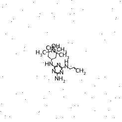 C=CCNc1nc(N)nc(NC2CC(C)(C)N(O)C(C)(C)C2)n1